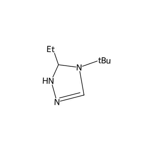 CCC1NN=CN1C(C)(C)C